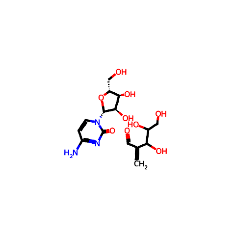 C=C(C=O)C(O)C(O)CO.Nc1ccn([C@@H]2O[C@H](CO)[C@@H](O)[C@H]2O)c(=O)n1